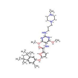 COc1nc(NCCCN2CCN(C)CC2)nc(OC)c1NC(=O)c1ccc(Oc2cc3c(cc2C)[Si](C)(C)C[Si]3(C)C)o1